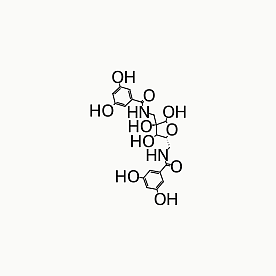 O=C(NC[C@H]1OC(O)[C@@](O)(CNC(=O)c2cc(O)cc(O)c2)C1O)c1cc(O)cc(O)c1